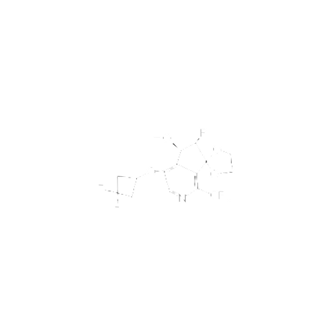 O[C@@H]1c2c(OC3CC(F)(F)C3)cnc(C(F)(F)F)c2C2(OCCO2)[C@@H]1F